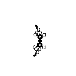 C=CCOC(=O)Oc1c(Cl)cc(C(C)(C)c2cc(Cl)c(OC(=O)OCC=C)c(Cl)c2)cc1Cl